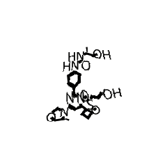 C[C@@H](CO)NC(=O)Nc1ccc(-c2nc(N3CCOC[C@@H]3C)cc(C3(S(=O)(=O)CCCO)CCC3)n2)cc1